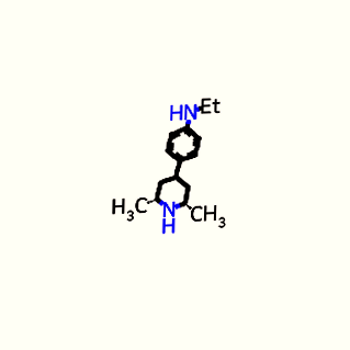 CCNc1ccc(C2C[C@@H](C)N[C@@H](C)C2)cc1